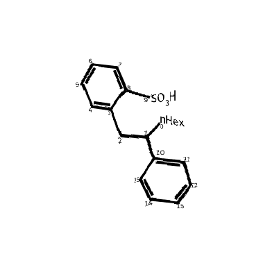 CCCCCCC(Cc1ccccc1S(=O)(=O)O)c1ccccc1